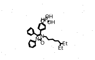 CCC(CC)CCCCCn1c(-c2ccccc2)c(-c2ccccc2)n(-c2ccccc2)c1=O.O=[PH](O)O